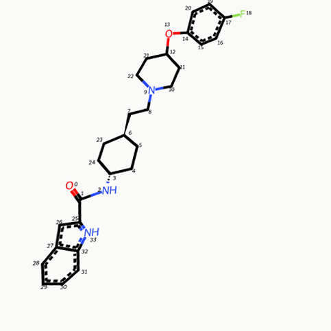 O=C(N[C@H]1CC[C@H](CCN2CCC(Oc3ccc(F)cc3)CC2)CC1)c1cc2ccccc2[nH]1